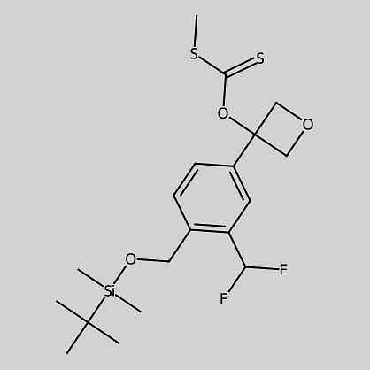 CSC(=S)OC1(c2ccc(CO[Si](C)(C)C(C)(C)C)c(C(F)F)c2)COC1